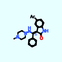 CC(=O)c1ccc2c(c1)/C(=C(\NN1CCN(C)CC1)c1ccccc1)C(=O)N2